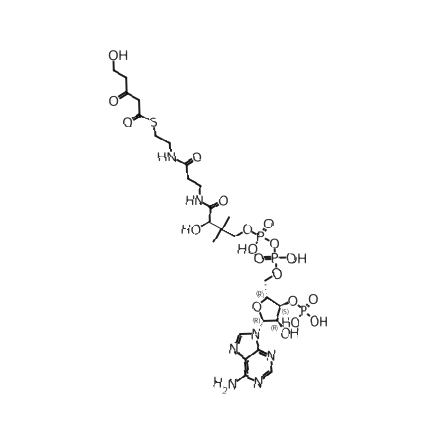 CC(C)(COP(=O)(O)OP(=O)(O)OC[C@H]1O[C@@H](n2cnc3c(N)ncnc32)[C@H](O)[C@@H]1OP(=O)(O)O)C(O)C(=O)NCCC(=O)NCCSC(=O)CC(=O)CCO